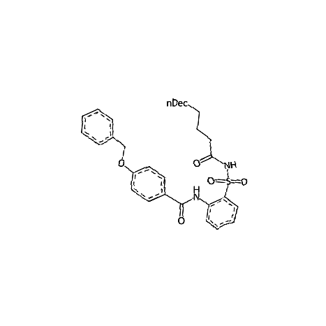 CCCCCCCCCCCCCC(=O)NS(=O)(=O)c1ccccc1NC(=O)c1ccc(OCc2ccccc2)cc1